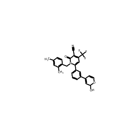 Cc1ccc(Cn2c(-c3cccc(C4=CC(O)OC=C4)c3)cc(C(F)(F)F)c(C#N)c2=O)c(C)c1